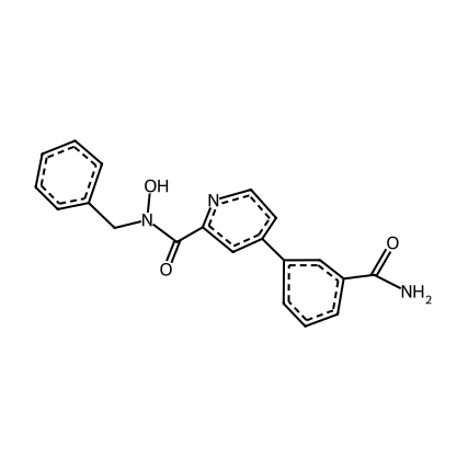 NC(=O)c1cccc(-c2ccnc(C(=O)N(O)Cc3ccccc3)c2)c1